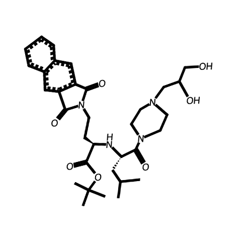 CC(C)C[C@H](N[C@H](CCN1C(=O)c2cc3ccccc3cc2C1=O)C(=O)OC(C)(C)C)C(=O)N1CCN(CC(O)CO)CC1